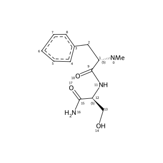 CN[C@@H](Cc1ccccc1)C(=O)N[C@@H](CO)C(N)=O